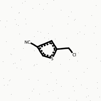 N#Cc1csc(CCl)c1